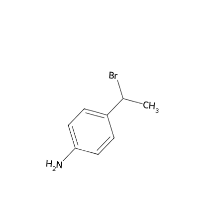 CC(Br)c1ccc(N)cc1